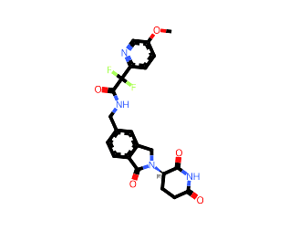 COc1ccc(C(F)(F)C(=O)NCc2ccc3c(c2)CN([C@@H]2CCC(=O)NC2=O)C3=O)nc1